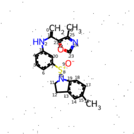 C=C(Nc1cccc([S+]([O-])N2CCc3cc(C)ccc32)c1)c1ocnc1C